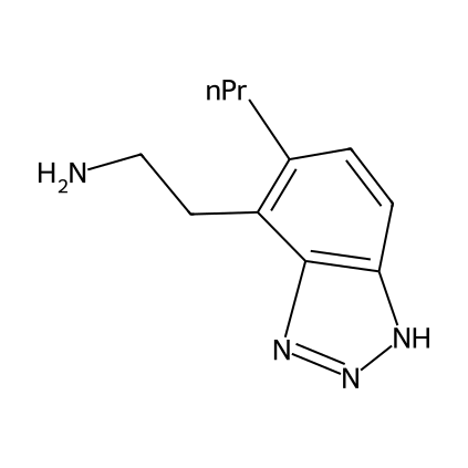 CCCc1ccc2[nH]nnc2c1CCN